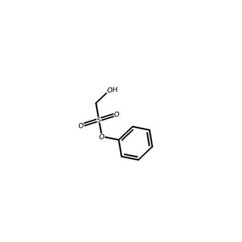 O=S(=O)(CO)Oc1ccccc1